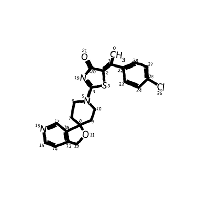 C/C(=C1/SC(N2CCC3(CC2)OCc2ccncc23)=NC1=O)c1ccc(Cl)cc1